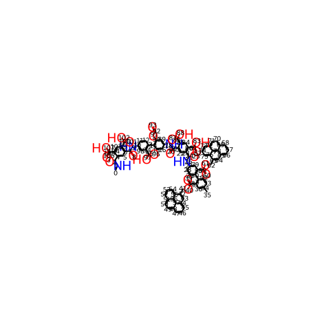 CNC(=O)c1cc(C(=O)Nc2ccc(-c3ccc(NC(=O)c4cc(C(=O)Nc5ccc(-c6ccc(C)cc6C(=O)OCc6cc7cccc8ccc9cccc6c9c87)c(C(=O)OCc6cc7cccc8ccc9cccc6c9c87)c5)c(C(=O)O)cc4C(=O)O)cc3OC=O)c(C(=O)O)c2)c(C(=O)O)cc1C(=O)O